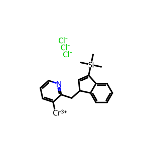 C[Si](C)(C)C1=CC(Cc2nccc[c]2[Cr+3])c2ccccc21.[Cl-].[Cl-].[Cl-]